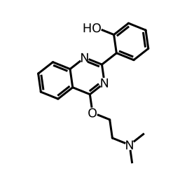 CN(C)CCOc1nc(-c2ccccc2O)nc2ccccc12